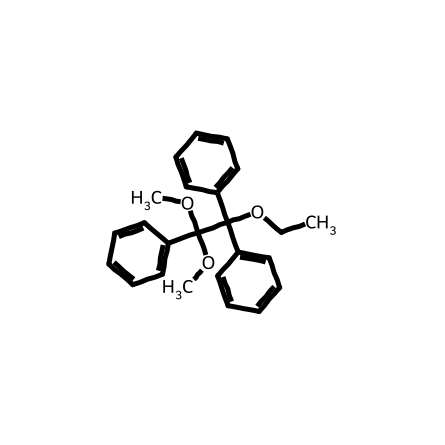 CCOC(c1ccccc1)(c1ccccc1)C(OC)(OC)c1ccccc1